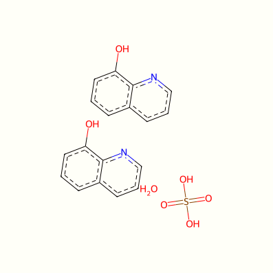 O.O=S(=O)(O)O.Oc1cccc2cccnc12.Oc1cccc2cccnc12